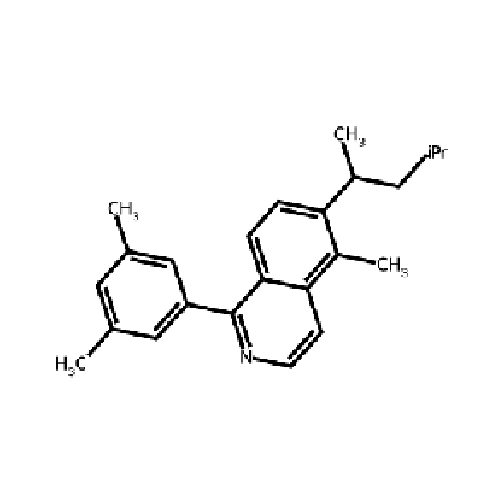 Cc1cc(C)cc(-c2nccc3c(C)c(C(C)CC(C)C)ccc23)c1